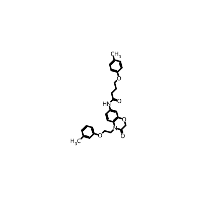 Cc1ccc(OCCCC(=O)Nc2ccc3c(c2)OCC(=O)N3CCOc2cccc(C)c2)cc1